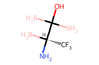 BC(B)(O)[C@](B)(N)C(F)(F)F